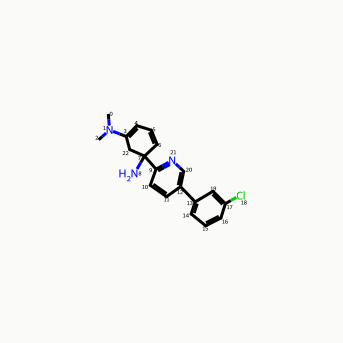 CN(C)C1=CC=CC(N)(c2ccc(-c3cccc(Cl)c3)cn2)C1